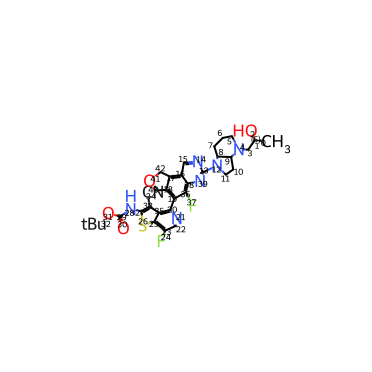 C[C@H](O)CN1CCCC2C1CCN2c1ncc2c3c(c(-c4ncc(F)c5sc(NC(=O)OC(C)(C)C)c(C#N)c45)c(F)c2n1)COC3